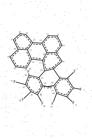 Fc1c(F)c(F)c(-c2cc3cccc4c5cccc6cccc(c(c2-c2c(F)c(F)c(F)c(F)c2F)c34)c65)c(F)c1F